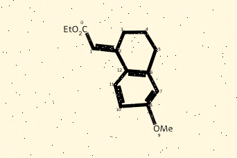 CCOC(=O)C=C1CCCc2cc(OC)ccc21